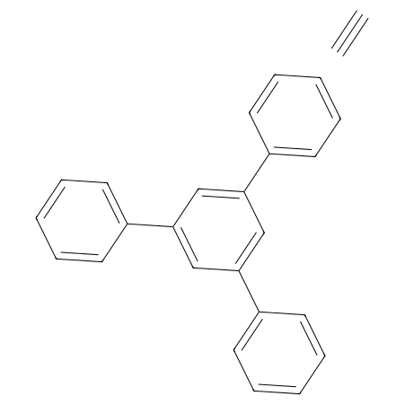 C#C.c1ccc(-c2cc(-c3ccccc3)cc(-c3ccccc3)c2)cc1